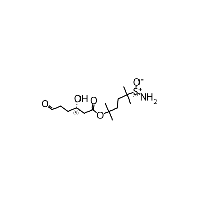 CC(C)(CCC(C)(C)[S@+](N)[O-])OC(=O)C[C@@H](O)CCC=O